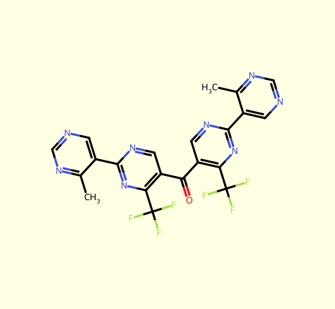 Cc1ncncc1-c1ncc(C(=O)c2cnc(-c3cncnc3C)nc2C(F)(F)F)c(C(F)(F)F)n1